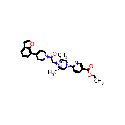 CCOC(=O)c1ccc(N2C[C@@H](C)N(CC(=O)N3CC=C(c4cccc5ccoc45)CC3)[C@@H](C)C2)nc1